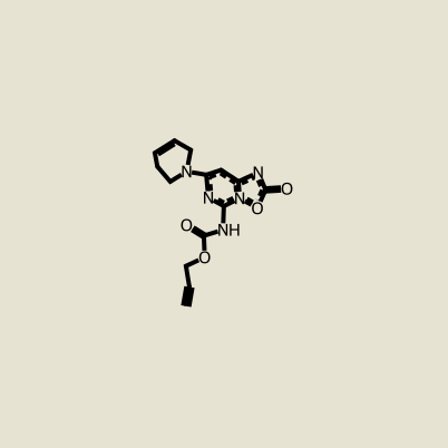 C#CCOC(=O)Nc1nc(N2CC=CCC2)cc2nc(=O)on12